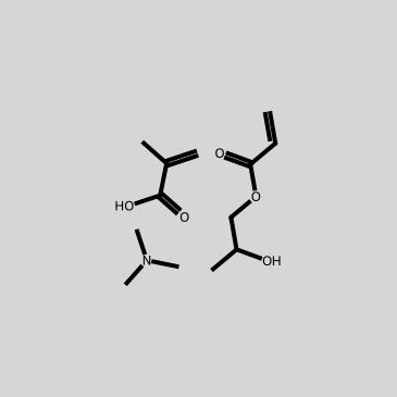 C=C(C)C(=O)O.C=CC(=O)OCC(C)O.CN(C)C